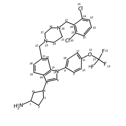 NC1CCC(c2cn(-c3ccc(OC(F)(F)F)cc3)c3cc(CN4CCN(Cc5c(Cl)cccc5Cl)CC4)ccc23)C1